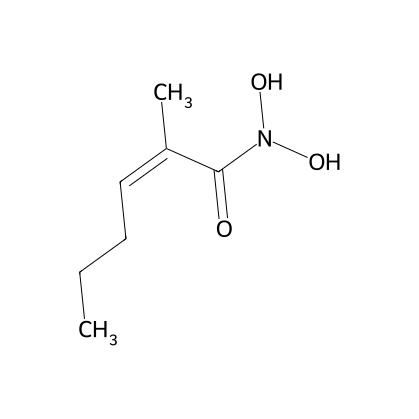 CCCC=C(C)C(=O)N(O)O